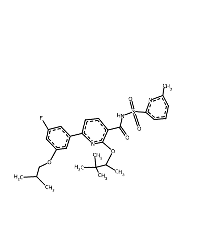 Cc1cccc(S(=O)(=O)NC(=O)c2ccc(-c3cc(F)cc(OCC(C)C)c3)nc2OC(C)C(C)(C)C)n1